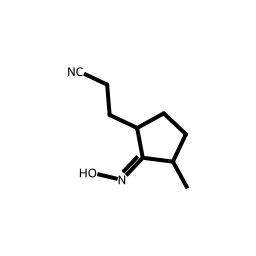 CC1CCC(CCC#N)C1=NO